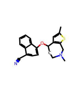 Cc1cc2c(s1)CN(C)CCC2Oc1ccc(C#N)c2ccccc12